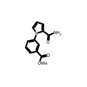 COC(=O)c1cccc(-n2cccc2C(N)=O)c1